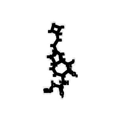 CN1C(=O)C(NC(=O)OC(C)(C)C)CCn2nc(CCN3CCC3)cc21